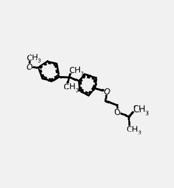 COc1ccc(C(C)(C)c2ccc(OCCOC(C)C)cc2)cc1